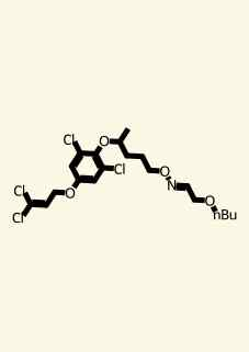 CCCCOCC=NOCCCC(C)Oc1c(Cl)cc(OCC=C(Cl)Cl)cc1Cl